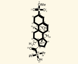 COP(=O)([O-])C1=CC2=CC[C@H]3[C@@H]4CC[C@H](C(=O)[N+](O)(C(C)C)C(C)C)[C@@]4(C)CC[C@@H]3[C@@]2(C)CC1